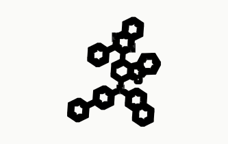 C1=C(c2nc3ccccc3nc2-c2ccccc2)c2c(oc3ccccc23)C(N(c2ccc(-c3ccccc3)cc2)c2ccc3ccccc3c2)C1